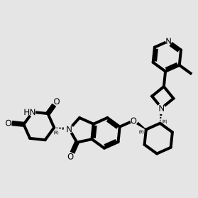 Cc1cnccc1C1CN([C@@H]2CCCC[C@H]2Oc2ccc3c(c2)CN([C@@H]2CCC(=O)NC2=O)C3=O)C1